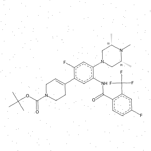 C[C@@H]1CN(c2cc(F)c(C3=CCN(C(=O)OC(C)(C)C)CC3)cc2NC(=O)c2ccc(F)cc2C(F)(F)F)C[C@H](C)N1C